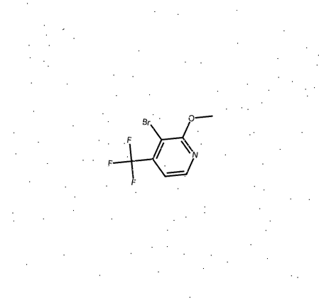 COc1nccc(C(F)(F)F)c1Br